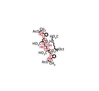 CC(=O)OC(=O)C(C)OC(=O)c1ccccc1OC(=O)CC(CC(=O)O)(OC(=O)C(O)C(O)C(=O)OC(CC(=O)O)(CC(=O)Oc1ccccc1C(=O)OC(C)C(=O)OC(C)=O)C(=O)O)C(=O)O.CCCCCCCC/C=C\CCCCCCCC(=O)O